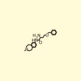 CN1CCc2ccc(NC(=O)[C@H](N)CCOCc3ccccc3)cc2CC1